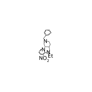 CCN(CC1CCN(Cc2ccccc2)CC1)c1ncccc1[N+](=O)[O-]